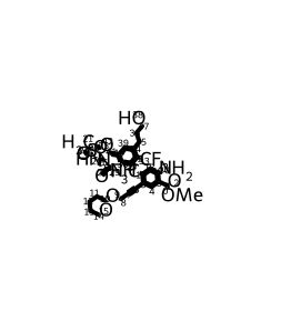 COC(=O)c1cc(C#CCOC2CCCCO2)c(C(F)(F)F)cc1N.CS(=O)(=O)Nn1c(=O)[nH]c2cc(C(F)(F)F)c(CCCO)cc2c1=O